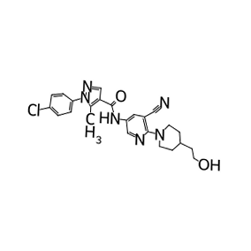 Cc1c(C(=O)Nc2cnc(N3CCC(CCO)CC3)c(C#N)c2)cnn1-c1ccc(Cl)cc1